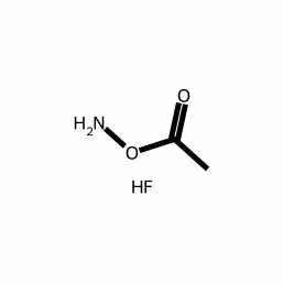 CC(=O)ON.F